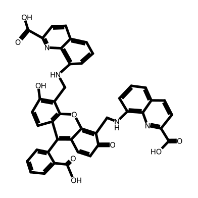 O=C(O)c1ccc2cccc(NCc3c4oc5c(CNc6cccc7ccc(C(=O)O)nc67)c(O)ccc5c(-c5ccccc5C(=O)O)c-4ccc3=O)c2n1